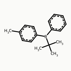 Cc1ccc(B(c2ccccc2)C(C)(C)C)cc1